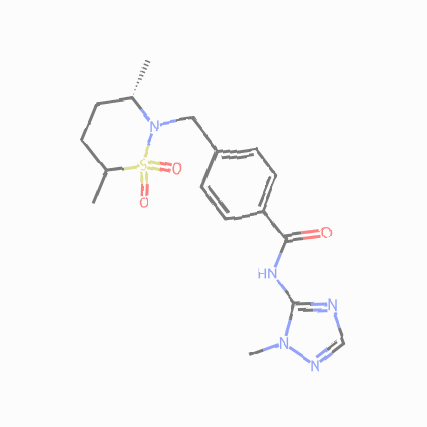 CC1CC[C@H](C)N(Cc2ccc(C(=O)Nc3ncnn3C)cc2)S1(=O)=O